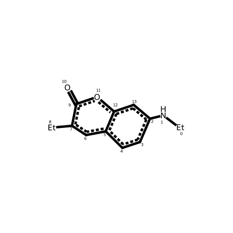 CCNc1ccc2cc(CC)c(=O)oc2c1